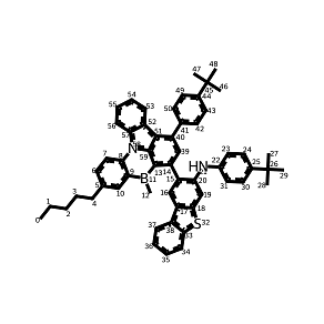 CCCCCc1ccc2c(c1)B(C)c1c(-c3cc4c(cc3Nc3ccc(C(C)(C)C)cc3)sc3ccccc34)cc(-c3ccc(C(C)(C)C)cc3)c3c4ccccc4n-2c13